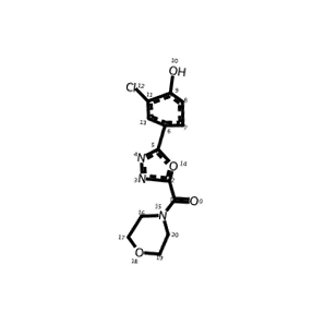 O=C(c1nnc(-c2ccc(O)c(Cl)c2)o1)N1CCOCC1